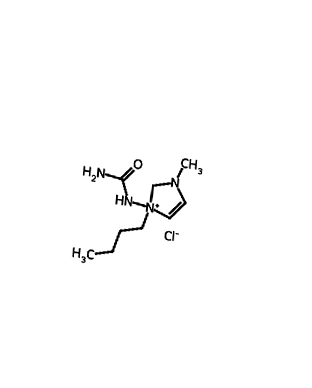 CCCC[N+]1(NC(N)=O)C=CN(C)C1.[Cl-]